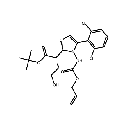 C=CCOC(=O)NN1C(c2c(Cl)cccc2Cl)=CO[C@@H]1[C@H](CCO)C(=O)OC(C)(C)C